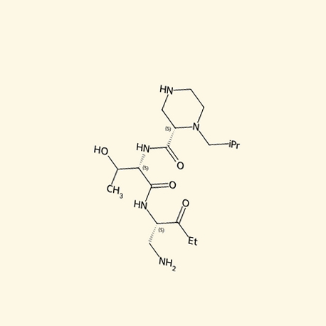 CCC(=O)[C@H](CN)NC(=O)[C@@H](NC(=O)[C@@H]1CNCCN1CC(C)C)C(C)O